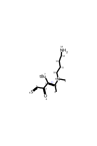 C/C(=C(\C(=O)C=S)C(C)(C)C)N(C)CCCCN